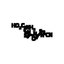 N#Cc1csc(-c2coc(-c3csc(C[C@H](N)C(=O)O)n3)n2)n1